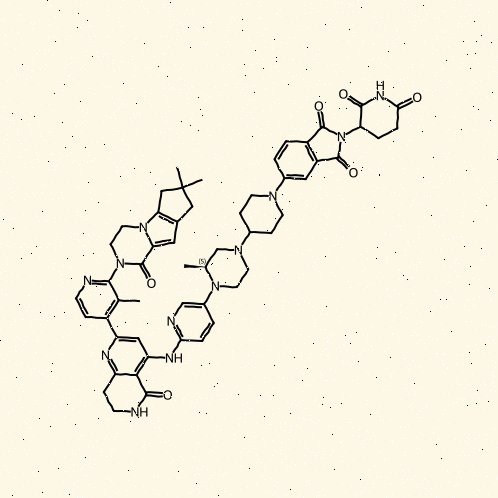 Cc1c(-c2cc(Nc3ccc(N4CCN(C5CCN(c6ccc7c(c6)C(=O)N(C6CCC(=O)NC6=O)C7=O)CC5)C[C@@H]4C)cn3)c3c(n2)CCNC3=O)ccnc1N1CCn2c(cc3c2CC(C)(C)C3)C1=O